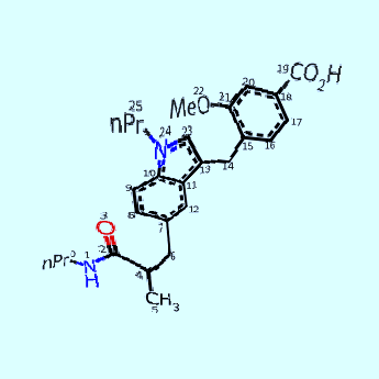 CCCNC(=O)C(C)Cc1ccc2c(c1)c(Cc1ccc(C(=O)O)cc1OC)cn2CCC